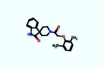 Cc1cccc(C)c1OCC(=O)N1CCC2(CC1)C(=O)Nc1ccccc12